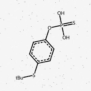 CC(C)(C)Sc1ccc(OP(O)(O)=S)cc1